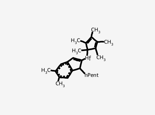 CCCCCC1[C]([Hf][C]2(C)C(C)=C(C)C(C)=C2C)=Cc2cc(C)c(C)cc21